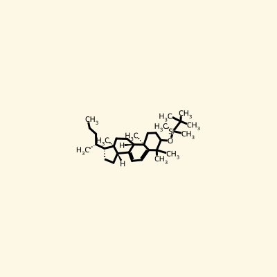 CCC[C@@H](C)[C@H]1CC[C@H]2C3=CC=C4C(C)(C)C(O[Si](C)(C)C(C)(C)C)CC[C@]4(C)[C@H]3CC[C@]12C